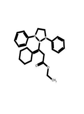 CCOC(=O)CC(=C1CCCCC1)P1N(c2ccccc2)CCN1c1ccccc1